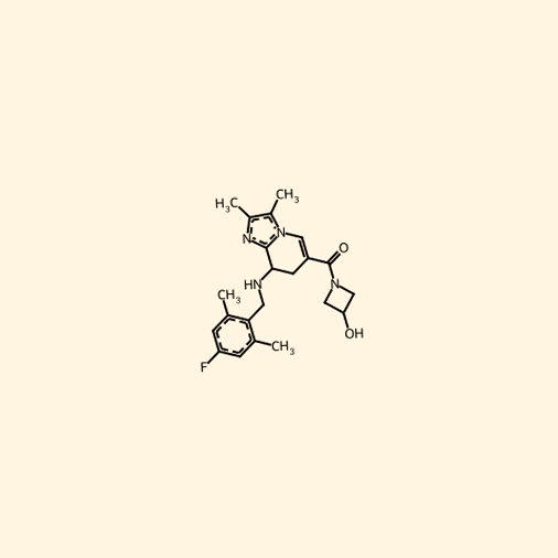 Cc1cc(F)cc(C)c1CNC1CC(C(=O)N2CC(O)C2)=Cn2c1nc(C)c2C